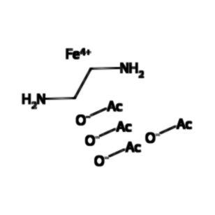 CC(=O)[O-].CC(=O)[O-].CC(=O)[O-].CC(=O)[O-].NCCN.[Fe+4]